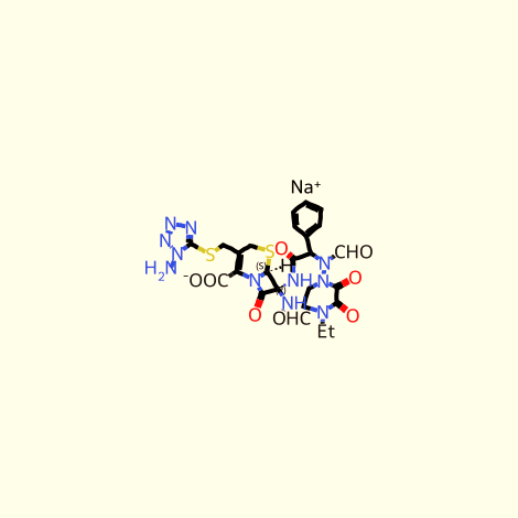 CCN1CCN(N(C=O)C(C(=O)N[C@]2(NC=O)C(=O)N3C(C(=O)[O-])=C(CSc4nnnn4N)CS[C@H]32)c2ccccc2)C(=O)C1=O.[Na+]